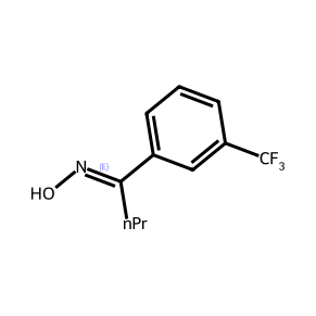 CCC/C(=N\O)c1cccc(C(F)(F)F)c1